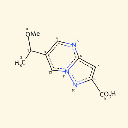 COC(C)c1cnc2cc(C(=O)O)nn2c1